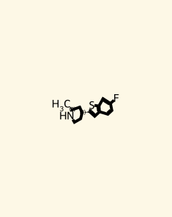 C[C@@H]1C[C@H](c2cc3ccc(F)cc3s2)CCN1